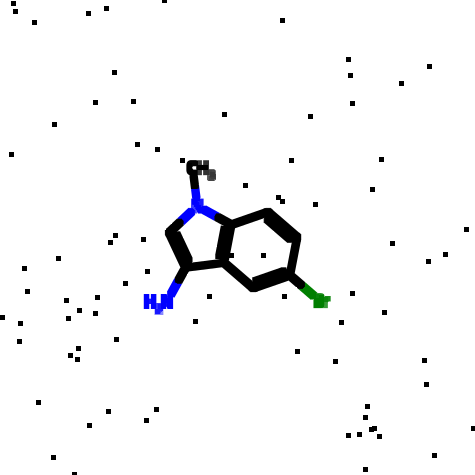 Cn1cc(N)c2cc(Br)ccc21